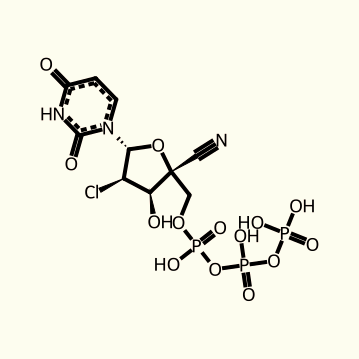 N#C[C@]1(COP(=O)(O)OP(=O)(O)OP(=O)(O)O)O[C@@H](n2ccc(=O)[nH]c2=O)[C@H](Cl)[C@@H]1O